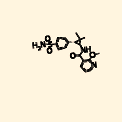 COc1ncccc1C(=O)N[C@H]1[C@H](c2ccc(S(N)(=O)=O)cc2)C1(C)C